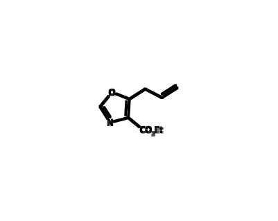 C=CCc1ocnc1C(=O)OCC